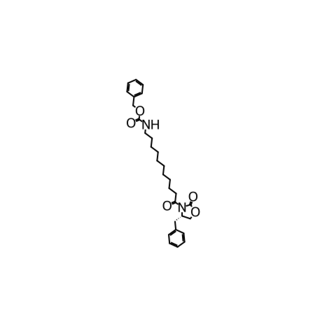 O=C(NCCCCCCCCCCC(=O)N1C(=O)OC[C@@H]1Cc1ccccc1)OCc1ccccc1